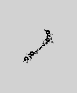 Cc1[nH]c(C=C2C(=O)Nc3ccc(F)cc32)c(C)c1C(=O)NCCOCCOCCNc1ccc2c(c1)C(=O)N(C1CCC(=O)NC1=O)C2=O